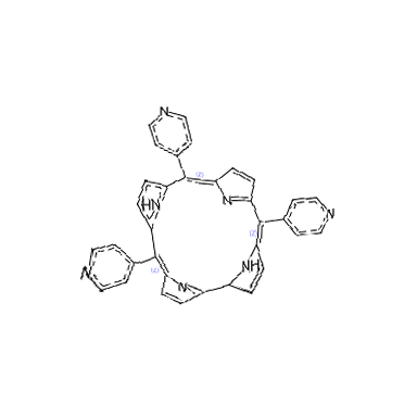 C1=C/C2=C(\c3ccncc3)c3ccc([nH]3)/C(c3ccncc3)=C3/C=CC(=N3)C3C=C/C(=C(\c4ccncc4)C1=N2)N3